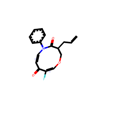 C=CCC1CO/C=C(/F)C(=O)/C=C\N(c2ccccc2)C1=O